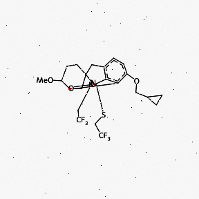 COC1CCC2(CC1)Cc1ccc(OCC3CC3)cc1C21N=C(SCC(F)(F)F)N(CC(F)(F)F)C1=O